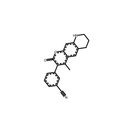 Cc1c(-c2cccc(C#N)c2)c(=O)oc2cc3c(cc12)CCCN3